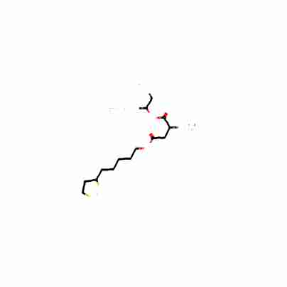 COC(CC(=O)OCCCCCC1CCSS1)C(=O)OC(CC(C)=O)C(=O)O